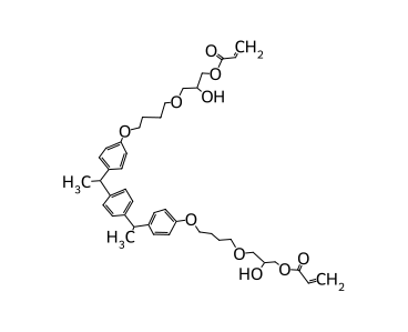 C=CC(=O)OCC(O)COCCCCOc1ccc(C(C)c2ccc(C(C)c3ccc(OCCCCOCC(O)COC(=O)C=C)cc3)cc2)cc1